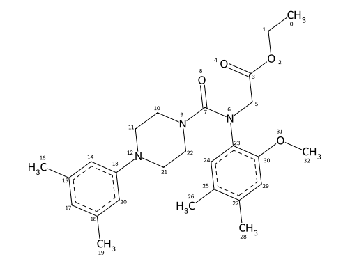 CCOC(=O)CN(C(=O)N1CCN(c2cc(C)cc(C)c2)CC1)c1cc(C)c(C)cc1OC